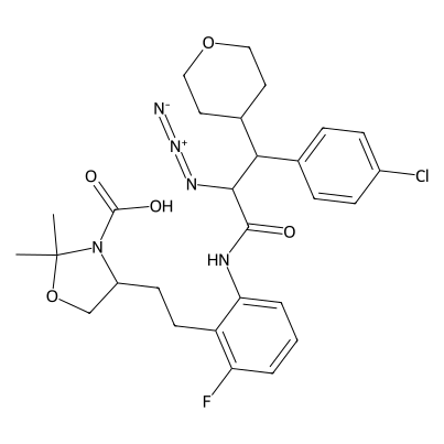 CC1(C)OCC(CCc2c(F)cccc2NC(=O)C(N=[N+]=[N-])C(c2ccc(Cl)cc2)C2CCOCC2)N1C(=O)O